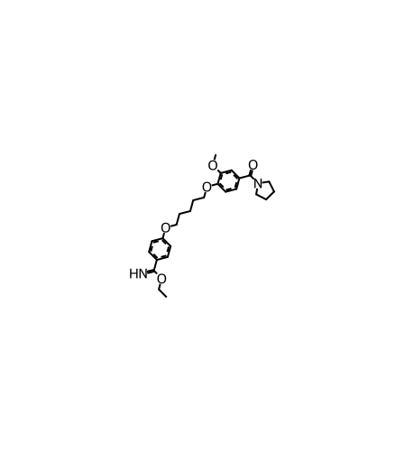 CCOC(=N)c1ccc(OCCCCCOc2ccc(C(=O)N3CCCC3)cc2OC)cc1